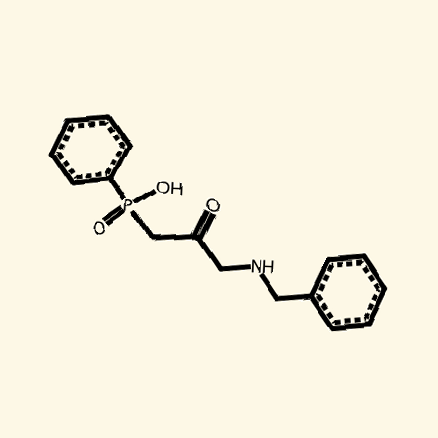 O=C(CNCc1ccccc1)CP(=O)(O)c1ccccc1